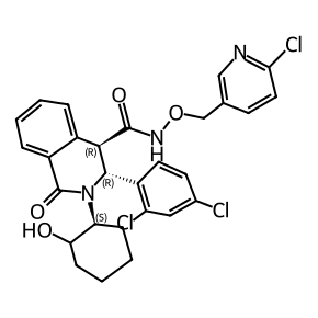 O=C(NOCc1ccc(Cl)nc1)[C@@H]1c2ccccc2C(=O)N([C@H]2CCCCC2O)[C@H]1c1ccc(Cl)cc1Cl